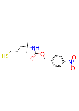 CC(C)(CCCS)NC(=O)OCc1ccc([N+](=O)[O-])cc1